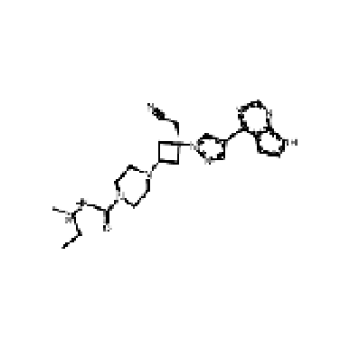 CC[C@@H](C)NC(=O)N1CCN([C@H]2C[C@](CC#N)(n3cc(-c4ncnc5[nH]ccc45)cn3)C2)CC1